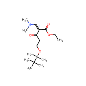 CCOC(=O)/C(=C/N(C)C)C(=O)CCO[Si](C)(C)C(C)(C)C